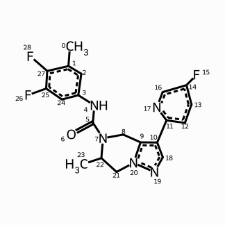 Cc1cc(NC(=O)N2Cc3c(-c4ccc(F)cn4)cnn3CC2C)cc(F)c1F